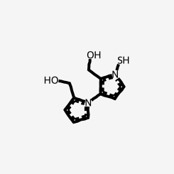 OCc1c(-n2cccc2CO)ccn1S